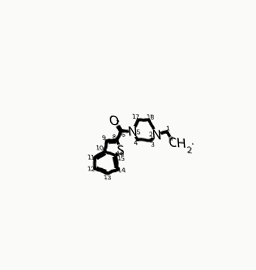 [CH2]CN1CCN(C(=O)c2cc3ccccc3s2)CC1